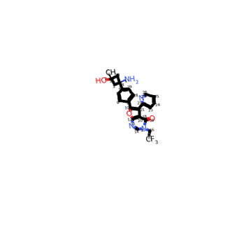 C[C@]1(O)C[C@@](N)(c2ccc(-c3oc4ncn(CC(F)(F)F)c(=O)c4c3-c3ccccn3)cc2)C1